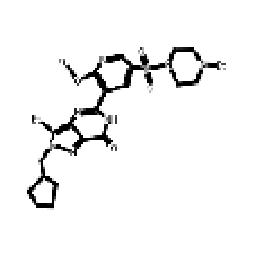 CCOc1ncc(S(=O)(=O)N2CCN(CC)CC2)cc1-c1nc2c(CC)n(CC3CCCC3)nc2c(=O)[nH]1